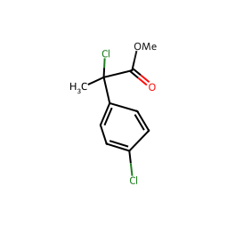 COC(=O)C(C)(Cl)c1ccc(Cl)cc1